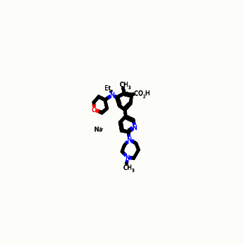 CCN(c1cc(-c2ccc(N3CCCN(C)CC3)nc2)cc(C(=O)O)c1C)C1CCOCC1.[Na]